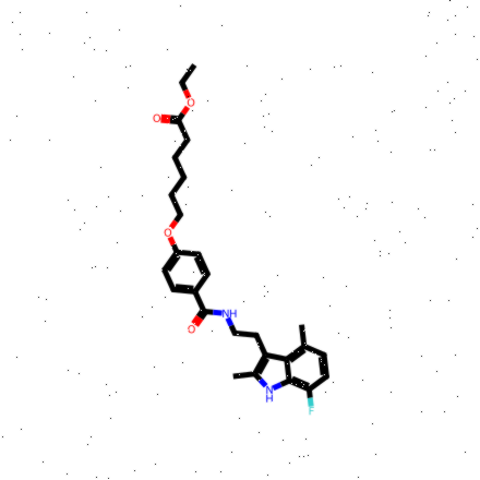 CCOC(=O)CCCCCOc1ccc(C(=O)NCCc2c(C)[nH]c3c(F)ccc(C)c23)cc1